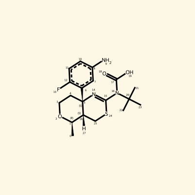 C[C@H]1OCC[C@]2(c3cc(N)ccc3F)N=C(N(C(=O)O)C(C)(C)C)SC[C@H]12